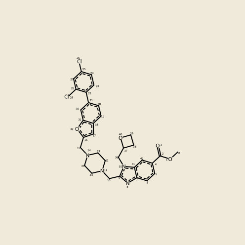 COC(=O)c1ccc2nc(CN3CCN(Cc4cc5ccc(-c6ccc(Cl)cc6Cl)cc5o4)CC3)n(CC3CCO3)c2c1